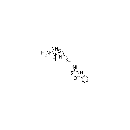 N=C(N)Nc1nc(CSCCNC(=S)NC(=O)c2ccccc2)cs1